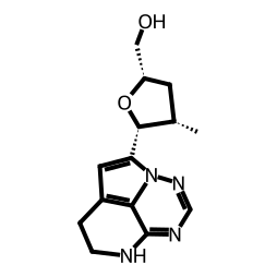 C[C@H]1C[C@@H](CO)O[C@H]1c1cc2c3c(ncnn13)NCC2